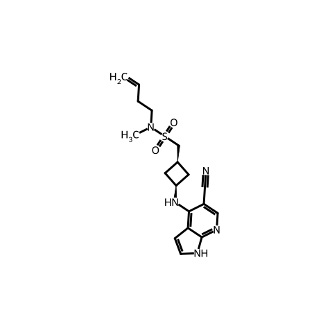 C=CCCN(C)S(=O)(=O)C[C@H]1C[C@@H](Nc2c(C#N)cnc3[nH]ccc23)C1